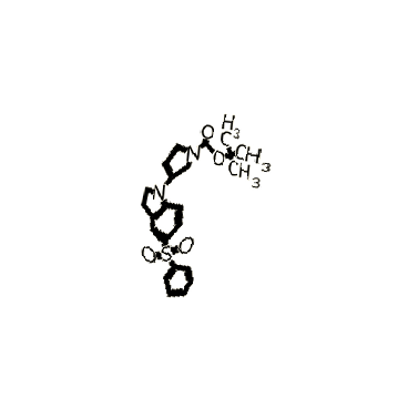 CC(C)(C)OC(=O)N1CCC(N2CCc3cc(S(=O)(=O)c4ccccc4)ccc32)C1